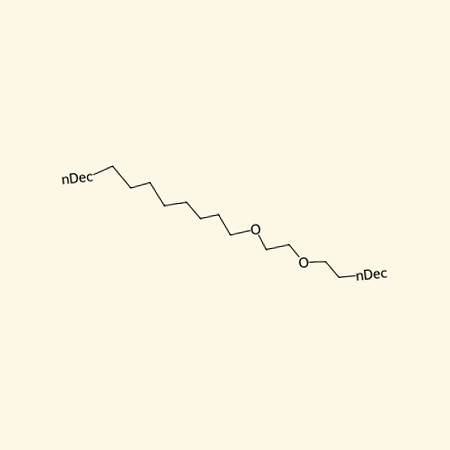 CCCCCCCCCCCCCCCCCCOCCOCCCCCCCCCCCC